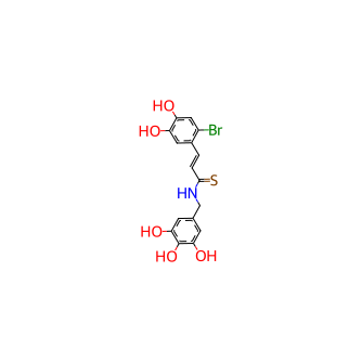 Oc1cc(Br)c(/C=C/C(=S)NCc2cc(O)c(O)c(O)c2)cc1O